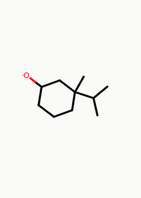 CC(C)C1(C)CCCC([O])C1